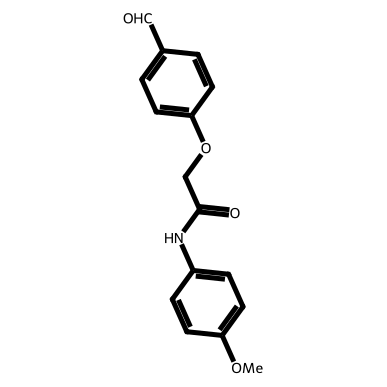 COc1ccc(NC(=O)COc2ccc(C=O)cc2)cc1